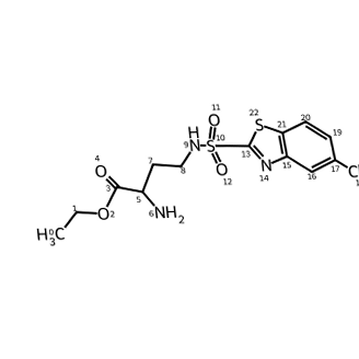 CCOC(=O)C(N)CCNS(=O)(=O)c1nc2cc(Cl)ccc2s1